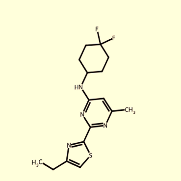 CCc1csc(-c2nc(C)cc(NC3CCC(F)(F)CC3)n2)n1